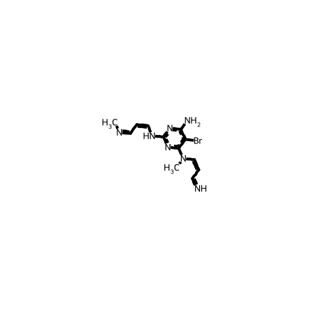 C/N=C\C=C/Nc1nc(N)c(Br)c(N(C)/C=C\C=N)n1